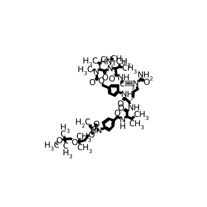 C=CP(=O)(Nc1ccc(C(=O)NC(C(=O)N[C@@H](CCCNC(N)=O)C(=O)Nc2ccc(COC(=O)N(C)[C@H](C(=O)N(NC)C(C(=O)NC)C(C)C)C(C)C)cc2)C(C)C)cc1)OCCC(C)(C)OCC(C)(C)OC